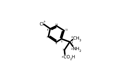 C[C@@](N)(CC(=O)O)c1ccc(Cl)cc1